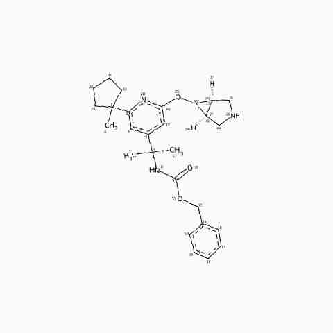 CC1(c2cc(C(C)(C)NC(=O)OCc3ccccc3)cc(OC3[C@H]4CNC[C@@H]34)n2)CCCC1